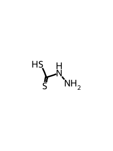 NNC(=S)S